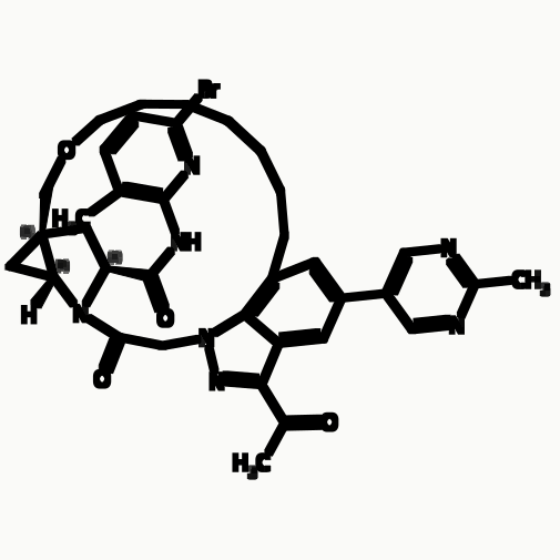 CC(=O)c1nn2c3c(cc(-c4cnc(C)nc4)cc13)CCCCCCCOC[C@@]13C[C@@H](C(=O)Nc4nc(Br)ccc4C)N(C(=O)C2)[C@@H]1C3